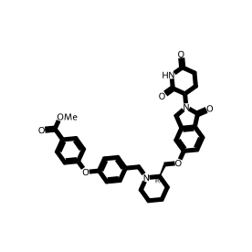 COC(=O)c1ccc(Oc2ccc(CN3CCCC[C@@H]3COc3ccc4c(c3)CN(C3CCC(=O)NC3=O)C4=O)cc2)cc1